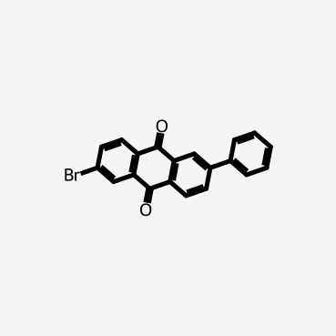 O=C1c2ccc(-c3ccccc3)cc2C(=O)c2ccc(Br)cc21